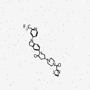 O=C(c1nccs1)N1CCN(C2CC(=O)N(c3ccc4c(c3)CCN4c3ccnc(C(F)(F)F)c3)C2)CC1